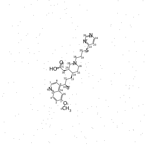 COc1ccc2nccc([C@H](F)CC[C@@H]3CCN(CCCSc4ccncn4)C[C@@H]3CC(=O)O)c2c1